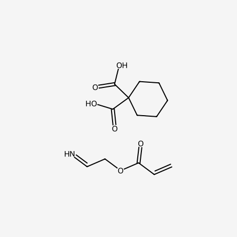 C=CC(=O)OCC=N.O=C(O)C1(C(=O)O)CCCCC1